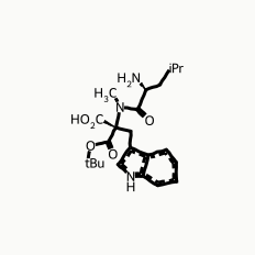 CC(C)C[C@H](N)C(=O)N(C)[C@@](Cc1c[nH]c2ccccc12)(C(=O)O)C(=O)OC(C)(C)C